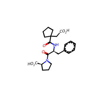 O=C(O)CC1(C(=O)N[C@@H](Cc2ccccc2)C(=O)N2CCC[C@H]2C(=O)O)CCCC1